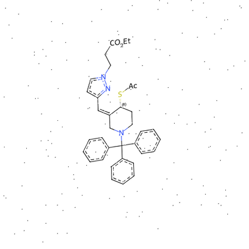 CCOC(=O)CCn1ccc(C=C2CN(C(c3ccccc3)(c3ccccc3)c3ccccc3)CC[C@H]2SC(C)=O)n1